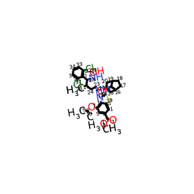 COC(=O)c1cc(OC(C)C)c2nc(NC3C4CCC3CC(OCC[C@@H](C)C(NO)c3c(Cl)cccc3Cl)C4)sc2c1